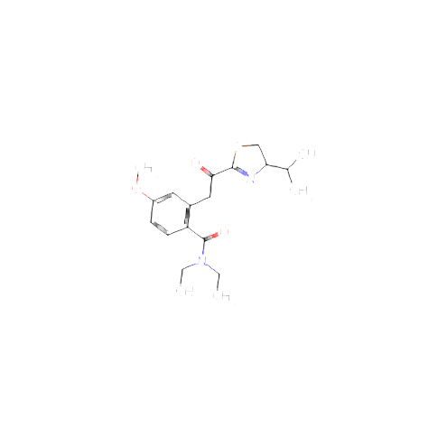 CCN(CC)C(=O)c1ccc(OC)cc1CC(=O)C1=NC(C(C)C)CS1